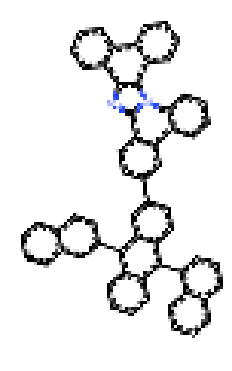 c1ccc2cc(-c3c4ccccc4c(-c4cccc5ccccc45)c4ccc(-c5ccc6c(c5)c5ccccc5n5c6nc6c7ccccc7c7ccccc7c65)cc34)ccc2c1